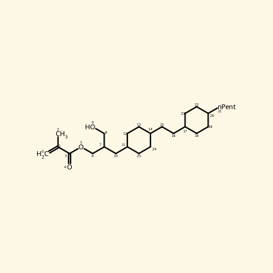 C=C(C)C(=O)OCC(CO)CC1CCC(CCC2CCC(CCCCC)CC2)CC1